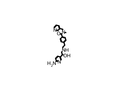 CN(Cc1cccnc1)C(=O)c1ccc(CCNC[C@H](O)c2ccc(N)nc2)cc1